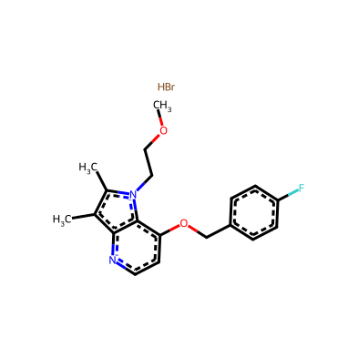 Br.COCCn1c(C)c(C)c2nccc(OCc3ccc(F)cc3)c21